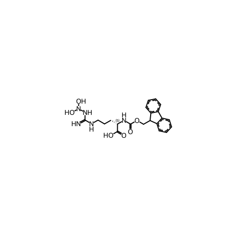 N=C(NCCC[C@H](NC(=O)OCC1c2ccccc2-c2ccccc21)C(=O)O)NN(O)O